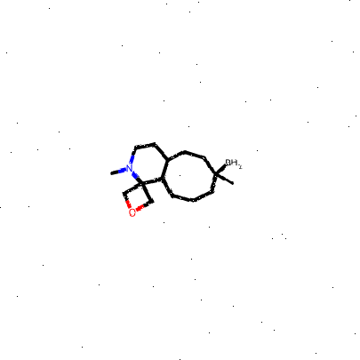 BC1(C)CCCC2C(CCN(C)C23COC3)CC1